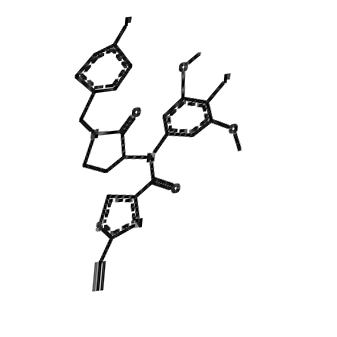 C#Cc1nc(C(=O)N(c2cc(OC)c(F)c(OC)c2)C2CCN(Cc3ccc(F)cc3)C2=O)cs1